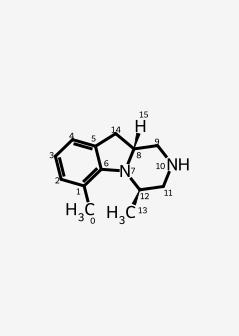 Cc1cccc2c1N1[C@@H](CNC[C@H]1C)C2